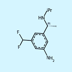 CC(C)N[C@H](C)c1cc(N)cc(C(F)F)c1